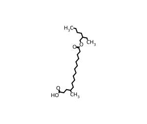 CCCCC(CC)COC(=O)CCCCCCCCCCCC(C)CCC(=O)O